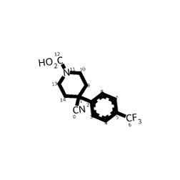 N#CC1(c2ccc(C(F)(F)F)cc2)CCN(C(=O)O)CC1